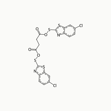 O=C(CCC(=O)OSc1nc2ccc(Cl)cc2s1)OSc1nc2ccc(Cl)cc2s1